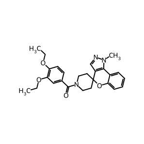 CCOc1ccc(C(=O)N2CCC3(CC2)Oc2ccccc2-c2c3cnn2C)cc1OCC